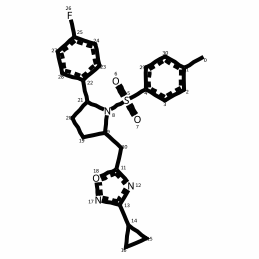 Cc1ccc(S(=O)(=O)N2C(Cc3nc(C4CC4)no3)CCC2c2ccc(F)cc2)cc1